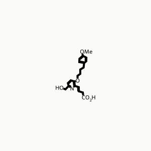 COc1ccc(CCCCOc2ccc(CO)nc2C=CCC(=O)O)cc1